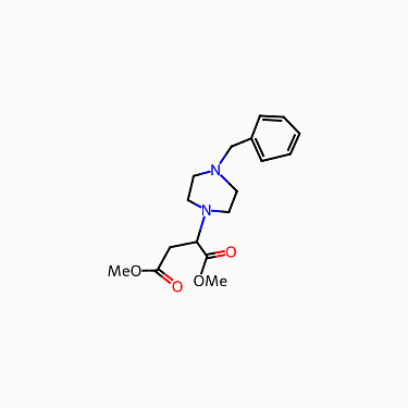 COC(=O)CC(C(=O)OC)N1CCN(Cc2ccccc2)CC1